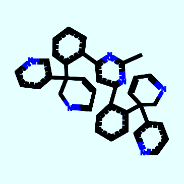 Cc1nc(-c2ccccc2C2(c3cccnc3)C=CC=NC2)cc(-c2ccccc2C2(c3cccnc3)C=CC=NC2)n1